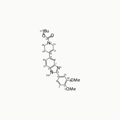 COc1ccc(-c2nc3cc(C4=CCN(C(=O)OC(C)(C)C)CC4)ccc3n2C)cc1OC